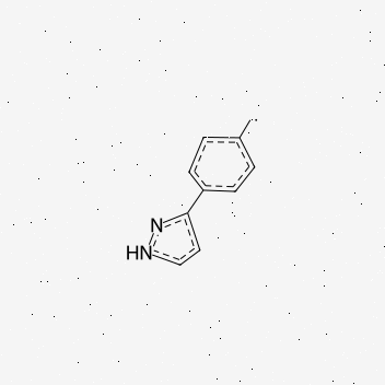 [CH2]c1ccc(-c2cc[nH]n2)cc1